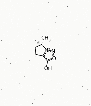 C[C@H]1CCc2c(O)on[n+]21